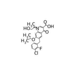 CC(C)Oc1cc2c(cc1Cc1cccc(Cl)c1F)c(=O)c(C(=O)O)cn2[C@@H](C)CO